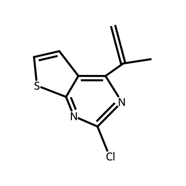 C=C(C)c1nc(Cl)nc2sccc12